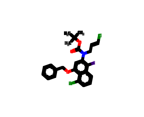 CC(C)(C)OC(=O)N(CC=CCl)c1cc(OCc2ccccc2)c2c(Br)cccc2c1I